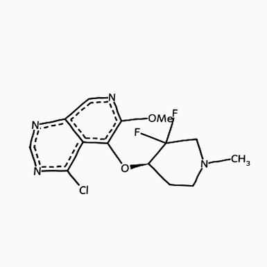 COc1ncc2ncnc(Cl)c2c1O[C@@H]1CCN(C)CC1(F)F